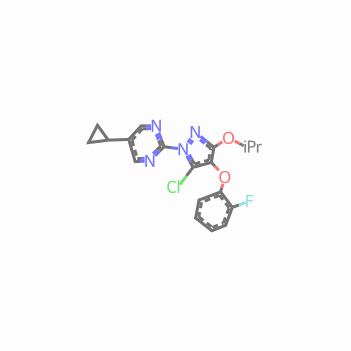 CC(C)Oc1nn(-c2ncc(C3CC3)cn2)c(Cl)c1Oc1ccccc1F